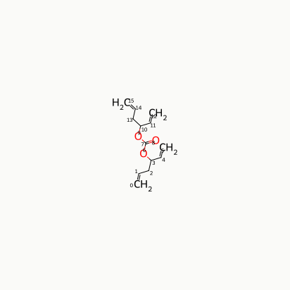 C=CCC(C=C)OC(=O)OC(C=C)CC=C